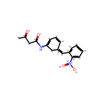 CC(=O)CC(=O)NC1=CC=C/C(=C\c2ccccc2[N+](=O)[O-])C1